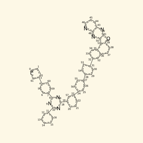 c1ccc(-c2ccc(-c3nc(-c4ccccc4)nc(-c4cccc(-c5ccc(-c6ccc(-c7ccc8c(ccc9oc%10nc%11cccnc%11nc%10c98)c7)cc6)cc5)c4)n3)cc2)cc1